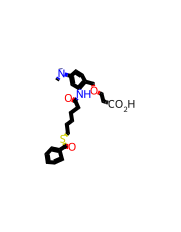 CN(C)c1ccc(COCCC(=O)O)c(NC(=O)CCCCCSC(=O)c2ccccc2)c1